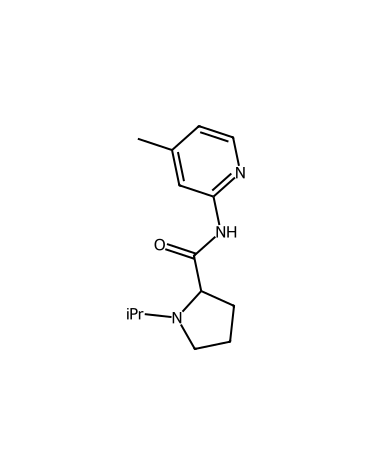 Cc1ccnc(NC(=O)C2CCCN2C(C)C)c1